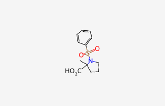 CC1(C(=O)O)CCCN1S(=O)(=O)c1ccccc1